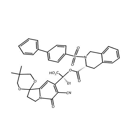 CC[C@@](OC(=O)[C@H]1Cc2ccccc2CN1S(=O)(=O)c1ccc(-c2ccccc2)cc1)(C(=O)O)c1cc2n(c(=O)c1C#N)CCC21OCC(C)(C)CO1